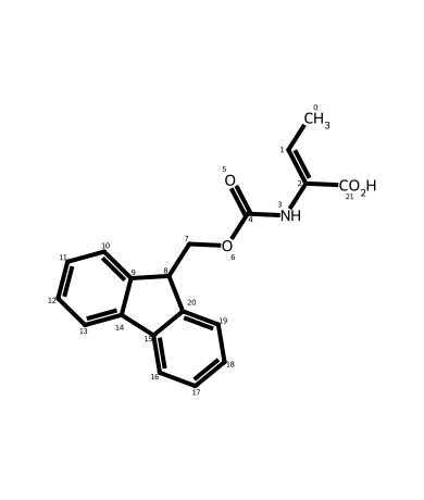 CC=C(NC(=O)OCC1c2ccccc2-c2ccccc21)C(=O)O